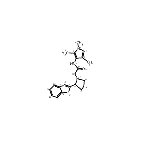 Cc1nn(C)c(C)c1NC(=O)CN1CCCC1c1nc2ccccc2s1